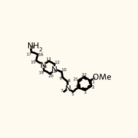 COc1ccc(CN(C)CCCN2CCN(CCCN)CC2)cc1